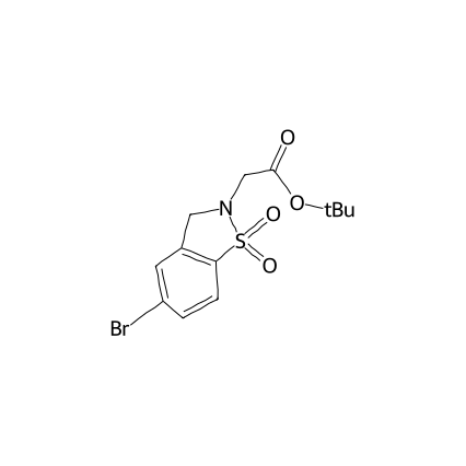 CC(C)(C)OC(=O)CN1Cc2cc(Br)ccc2S1(=O)=O